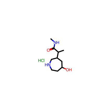 CNC(=O)C(C)C1CNCCC(O)C1.Cl